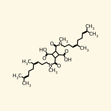 CC(C)=CCCC(C)=CCCN(C)C(=O)C1C(C(=O)O)C(C(=O)N(C)CCC=C(C)CCC=C(C)C)C1C(=O)O